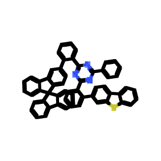 c1ccc(-c2nc(-c3ccccc3-c3ccc4c(c3)-c3ccccc3C43c4ccccc4-c4ccccc43)nc(-c3ccccc3-c3ccc4c(c3)sc3ccccc34)n2)cc1